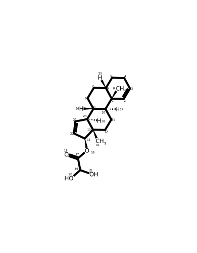 C[C@]12C=CCC[C@H]1CC[C@@H]1[C@@H]2CC[C@]2(C)[C@@H](OC(=O)C(O)O)C=C[C@@H]12